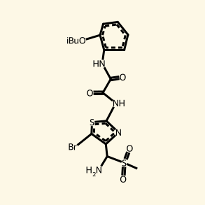 CC(C)COc1ccccc1NC(=O)C(=O)Nc1nc(C(N)S(C)(=O)=O)c(Br)s1